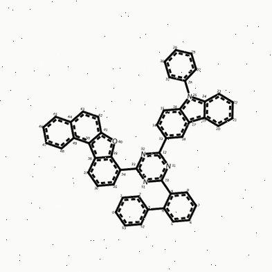 c1ccc(-c2ccccc2-c2nc(-c3ccc4c(c3)c3ccccc3n4-c3ccccc3)nc(-c3cccc4c3oc3ccc5ccccc5c34)n2)cc1